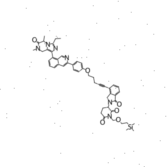 CCc1nc(-c2cccc3cc(-c4ccc(OCCCC#Cc5cccc6c5CN(C5CCC(=O)N(COCC[Si](C)(C)C)C5=O)C6=O)cc4)ncc23)c2n1C(C)C(=O)N(C)C2